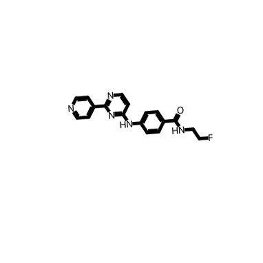 O=C(NCCF)c1ccc(Nc2ccnc(-c3ccncc3)n2)cc1